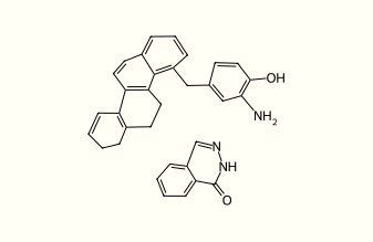 Nc1cc(Cc2cccc3ccc4c(c23)CCC2=C4C=CCC2)ccc1O.O=c1[nH]ncc2ccccc12